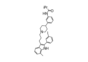 Cc1cccc2c(CCCN3CCC(c4cccc(NC(=O)C(C)C)c4)CC3)c(-c3cccc(I)c3)[nH]c12